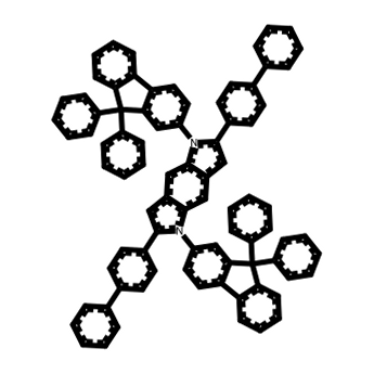 c1ccc(-c2ccc(-c3cc4cc5c(cc(-c6ccc(-c7ccccc7)cc6)n5-c5ccc6c(c5)C(c5ccccc5)(c5ccccc5)c5ccccc5-6)cc4n3-c3ccc4c(c3)C(c3ccccc3)(c3ccccc3)c3ccccc3-4)cc2)cc1